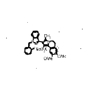 CCOC(=O)c1c(-c2nn(Cc3ccccc3F)c3ccccc23)c(C)n2c1-c1cc(OC)c(OC)cc1CC2